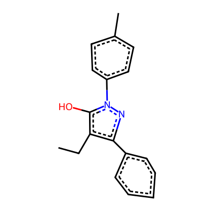 CCc1c(-c2ccccc2)nn(-c2ccc(C)cc2)c1O